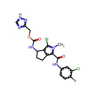 Cn1c(Br)c2c(c1C(=O)Nc1ccc(F)c(Cl)c1)CCC2NC(=O)OCc1nc[nH]n1